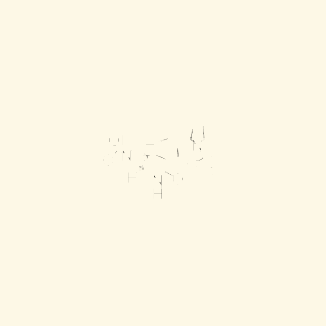 CC(C)(C)OC(=O)n1cccc1-c1ccc2c(c1)C(=O)NC[C@H]1CN(C(=O)O)C[C@H]21